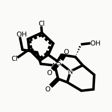 O=C1C2CCCC([C@@H](CO)CN1CCCO)N2S(=O)(=O)c1cc(Cl)cc(Cl)c1